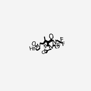 Cc1c(CN2CCNC2=O)sc2c1c(=O)n(CC(F)(F)F)c(=O)n2CC1COC1